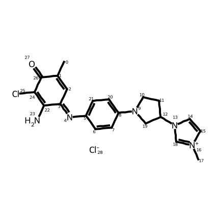 CC1=CC(=Nc2ccc(N3CCC(n4cc[n+](C)c4)C3)cc2)C(N)=C(Cl)C1=O.[Cl-]